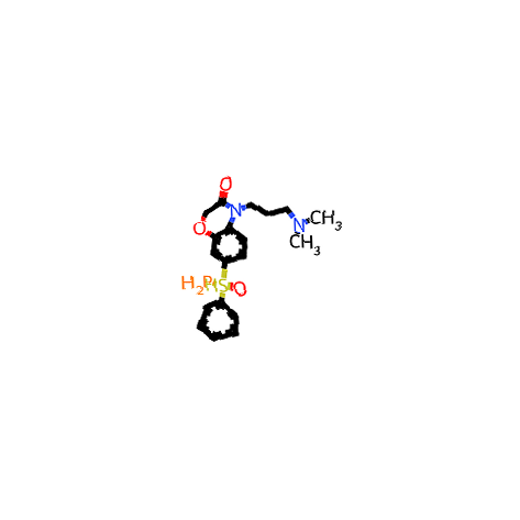 CN(C)CCCN1C(=O)COc2cc([SH](=O)(P)c3ccccc3)ccc21